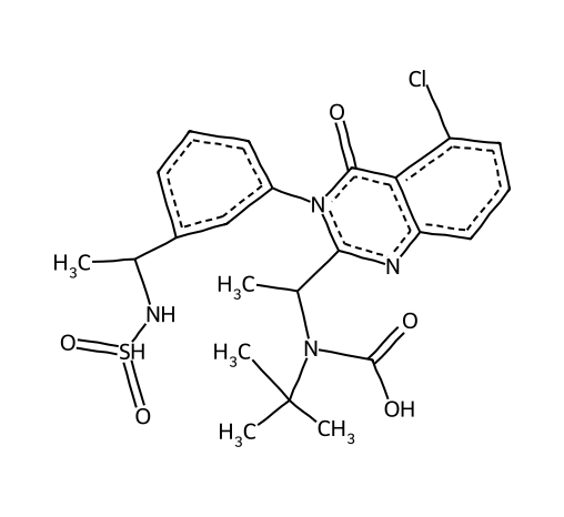 CC(N[SH](=O)=O)c1cccc(-n2c(C(C)N(C(=O)O)C(C)(C)C)nc3cccc(Cl)c3c2=O)c1